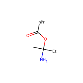 CCCC(=O)OC(C)(N)CC